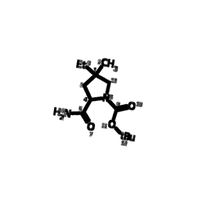 CCC1(C)CC(C(N)=O)N(C(=O)OC(C)(C)C)C1